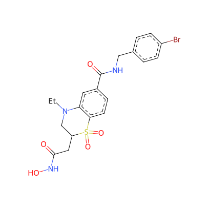 CCN1CC(CC(=O)NO)S(=O)(=O)c2ccc(C(=O)NCc3ccc(Br)cc3)cc21